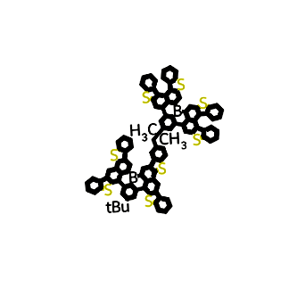 CC(C)(C)c1cc2c3c(c1)-c1c4sc5ccccc5c4cc4c1c(cc1c5cc(CC(C)(C)c6cc7c8c(c6)-c6cc9sc%10ccccc%10c9c9c6c(cc6sc%10ccccc%10c69)B8c6cc8sc9ccccc9c8c8c6c-7cc6sc7ccccc7c68)ccc5sc41)B3c1cc3c4ccccc4sc3c3cc4c(sc5ccccc54)c-2c13